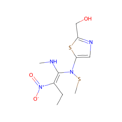 CCC(=C(NC)N(SC)c1cnc(CO)s1)[N+](=O)[O-]